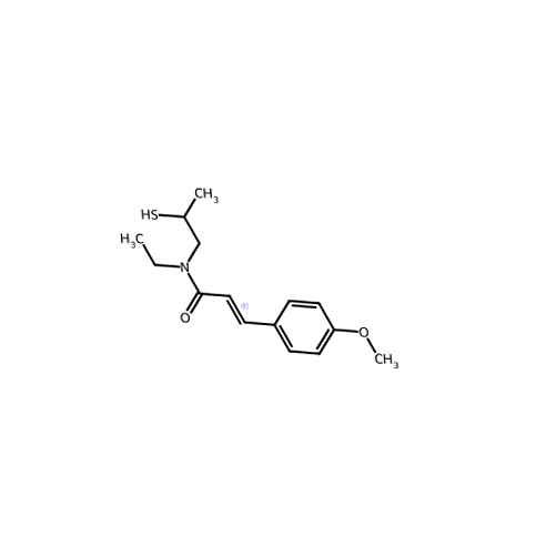 CCN(CC(C)S)C(=O)/C=C/c1ccc(OC)cc1